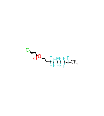 O=C(C=CCl)OCCCC(F)(F)C(F)(F)C(F)(F)C(F)(F)C(F)(F)C(F)(F)C(F)(F)F